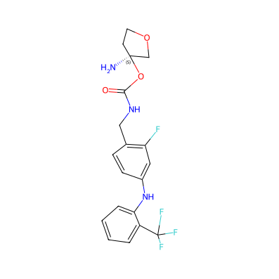 N[C@]1(OC(=O)NCc2ccc(Nc3ccccc3C(F)(F)F)cc2F)CCOC1